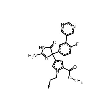 COC(=O)c1cc(C2(c3ccc(F)c(-c4cncnc4)c3)N=C(N)NC2=O)cn1CCF